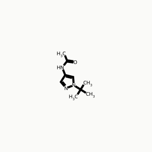 CC(=O)Nc1cnn(C(C)(C)C)c1